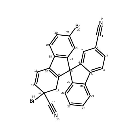 N#Cc1ccc2c(c1)C1(C3=C(C=CC(Br)(C#N)C3)c3ccc(Br)cc31)c1ccccc1-2